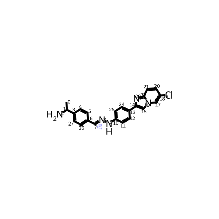 CC(N)c1ccc(/C=N/Nc2ccc(-c3cn4cc(Cl)ccc4n3)cc2)cc1